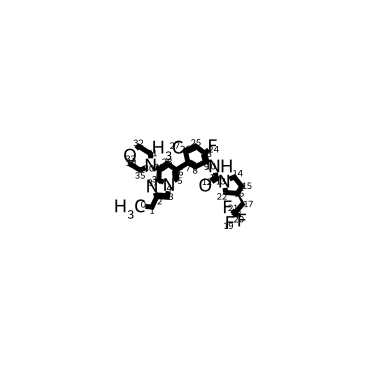 CCc1cn2cc(-c3cc(NC(=O)N4CC[C@@H](CC(F)(F)F)C4)c(F)cc3C)cc(N3CCOCC3)c2n1